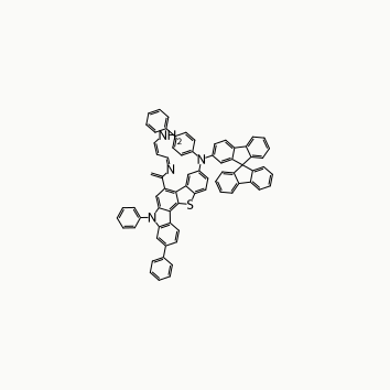 C=C(/N=C\C=C/N)c1cc2c(c3ccc(-c4ccccc4)cc3n2-c2ccccc2)c2sc3ccc(N(c4ccc(-c5ccccc5)cc4)c4ccc5c(c4)C4(c6ccccc6-c6ccccc64)c4ccccc4-5)cc3c12